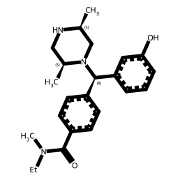 CCN(C)C(=O)c1ccc([C@H](c2cccc(O)c2)N2C[C@H](C)NC[C@@H]2C)cc1